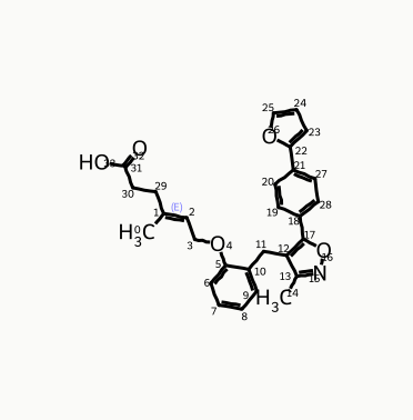 C/C(=C\COc1ccccc1Cc1c(C)noc1-c1ccc(-c2ccco2)cc1)CCC(=O)O